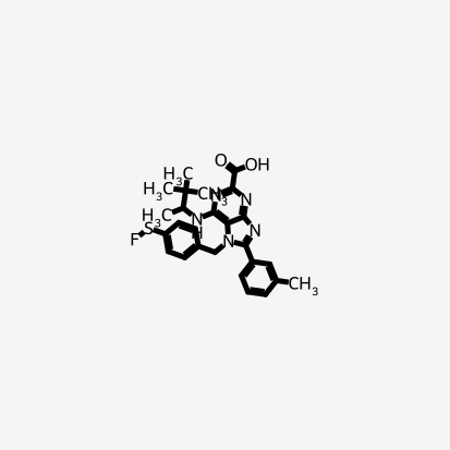 Cc1cccc(-c2nc3nc(C(=O)O)nc(NC(C)C(C)(C)C)c3n2Cc2ccc(SF)cc2)c1